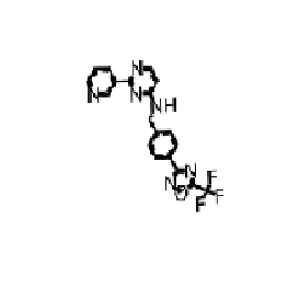 FC(F)(F)c1nc(-c2ccc(CNc3ccnc(-c4cccnc4)n3)cc2)no1